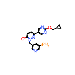 O=c1ccc(-c2cnc(OCC3CC3)nc2)nn1Cc1cncc(P)c1